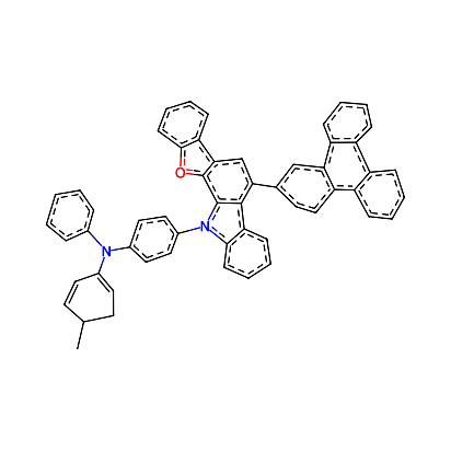 CC1C=CC(N(c2ccccc2)c2ccc(-n3c4ccccc4c4c(-c5ccc6c7ccccc7c7ccccc7c6c5)cc5c6ccccc6oc5c43)cc2)=CC1